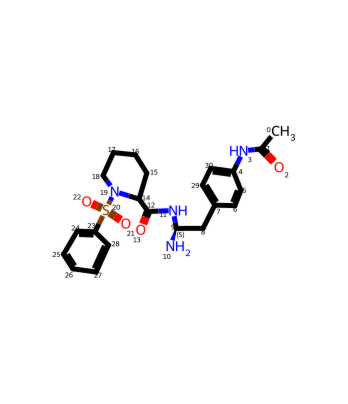 CC(=O)Nc1ccc(C[C@@H](N)NC(=O)C2CCCCN2S(=O)(=O)c2ccccc2)cc1